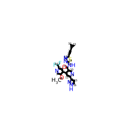 COc1cnc(C(F)F)cc1-c1cc(-c2cc[nH]n2)ncc1C(=O)Nc1nnc(C#CC2CC2)s1